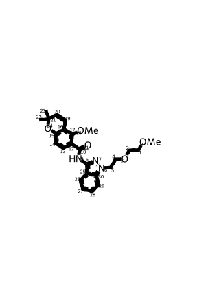 COCCOCCn1nc(NC(=O)c2ccc3c(c2OC)C=CC(C)(C)O3)c2ccccc21